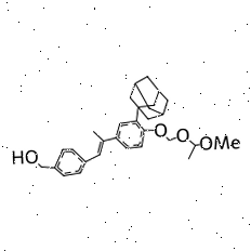 COC(C)OCOc1ccc(/C(C)=C/c2ccc(CO)cc2)cc1C12CC3CC(CC(C3)C1)C2